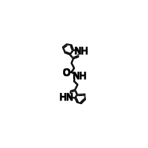 O=C(CCc1c[nH]c2ccccc12)NCCc1c[nH]c2ccccc12